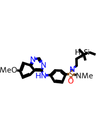 CNS(=O)(=NCCC(C)(C)[SiH2]C)c1ccc(Nc2ncnc3cc(OC)ccc23)cc1